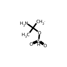 [CH2]C(C)(N)O[SH](=O)=O